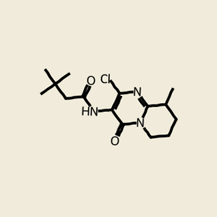 CC1CCCn2c1nc(Cl)c(NC(=O)CC(C)(C)C)c2=O